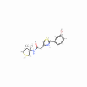 O=C(Cc1csc(-c2cccc(Br)c2)n1)NC1(C(=O)O)CCSC1